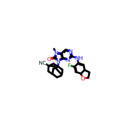 Cn1c(=O)n(C23CC4CC(CC(C#N)(C4)C2)C3)c2nc(NC3=CC4CCOC4C=C3F)ncc21